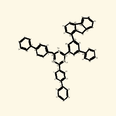 c1ccc(-c2ccc(-c3nc(-c4ccc(-c5ccccc5)cc4)nc(-c4cc(-c5ccccc5)cc(-c5cccc6c5Cc5ccccc5-6)c4)n3)cc2)cc1